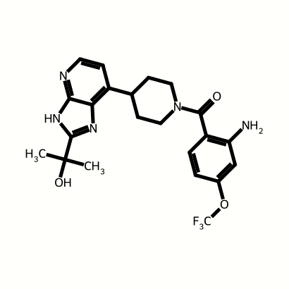 CC(C)(O)c1nc2c(C3CCN(C(=O)c4ccc(OC(F)(F)F)cc4N)CC3)ccnc2[nH]1